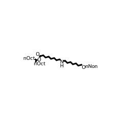 CCCCCCCCCOCCCCCCCNCCCCCCCC(=O)OC(CCCCCCCC)CCCCCCCC